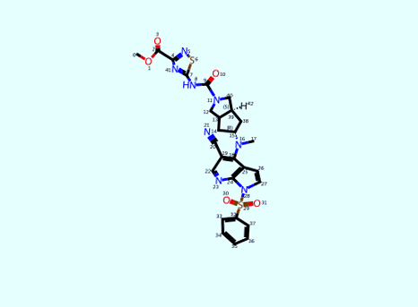 COC(=O)c1nsc(NC(=O)N2CC3C[C@@H](N(C)c4c(C#N)cnc5c4ccn5S(=O)(=O)c4ccccc4)C[C@@H]3C2)n1